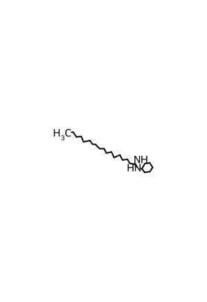 CCCCCCCCCCCCCCCCCC(=N)NC1CCCCC1